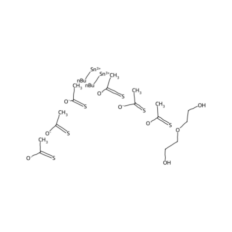 CC([O-])=S.CC([O-])=S.CC([O-])=S.CC([O-])=S.CC([O-])=S.CC([O-])=S.CCC[CH2][Sn+3].CCC[CH2][Sn+3].OCCOCCO